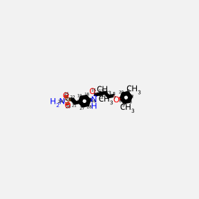 Cc1ccc(C)c(OCCCC(C)(C)C(=O)Nc2ccc(C=CS(N)(=O)=O)cc2)c1